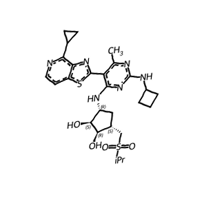 Cc1nc(NC2CCC2)nc(N[C@@H]2C[C@H](CS(=O)(=O)C(C)C)[C@@H](O)[C@H]2O)c1-c1nc2c(C3CC3)nccc2s1